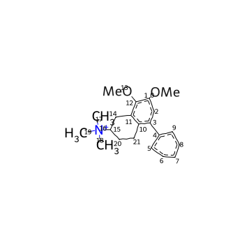 COc1cc(-c2ccccc2)c2c(c1OC)CC([N+](C)(C)C)CC2